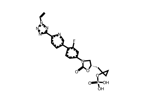 C=Cn1nnc(-c2ccc(-c3ccc(N4C[C@H](CC5(OP(=O)(O)O)CC5)OC4=O)cc3F)cn2)n1